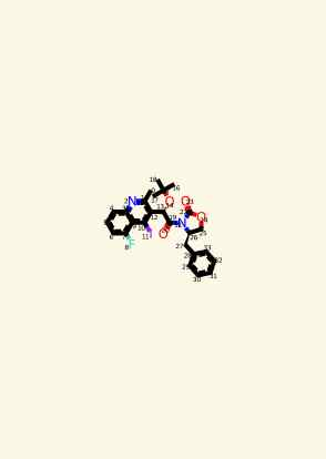 Cc1nc2cccc(F)c2c(I)c1[C@H](OC(C)(C)C)C(=O)N1C(=O)OC[C@H]1Cc1ccccc1